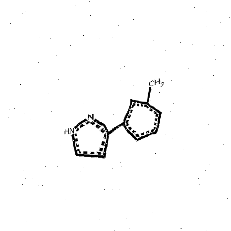 Cc1cccc(-c2cc[nH]n2)c1